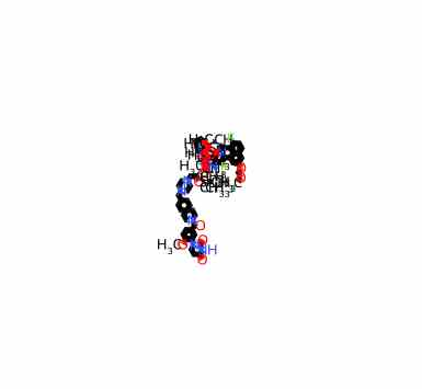 COCOc1cc(-c2ncc3c(N4CC5CCC(C4)N5C(=O)OC(C)(C)C)nc(OC[C@@H](CN4CCN(CC5CCC6(CC5)CCN(C(=O)c5ccc(OC)c(N7CCC(=O)NC7=O)c5)CC6)CC4)O[Si](C)(C)C(C)(C)C)nc3c2F)c2c(C#C[Si](C(C)C)(C(C)C)C(C)C)c(F)ccc2c1